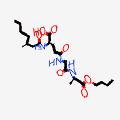 CCCCOC(=O)[C@@H](C)NC(=O)CNC(=O)CC[C@@H](NC(=O)C[C@@H](C)CCCC)C(=O)O